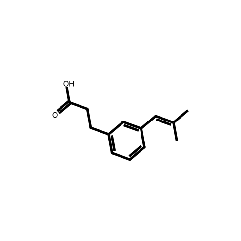 CC(C)=Cc1cccc(CCC(=O)O)c1